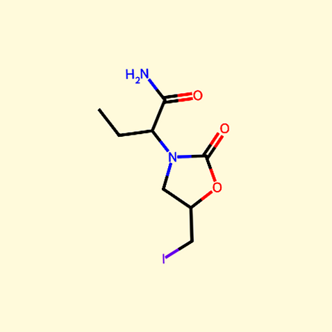 CCC(C(N)=O)N1CC(CI)OC1=O